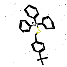 CC(C)(C)c1ccc(C[S][Sn]([c]2ccccc2)([c]2ccccc2)[c]2ccccc2)cc1